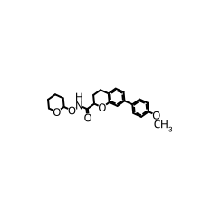 COc1ccc(-c2ccc3c(c2)OC(C(=O)NOC2CCCCO2)CC3)cc1